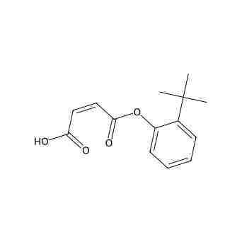 CC(C)(C)c1ccccc1OC(=O)/C=C\C(=O)O